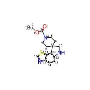 CC(C)(C)OC(=O)N1CCC2(CC1)CNc1ccc3ncsc3c12